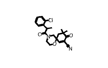 CC(C(=O)N1CCOC2(C=C(C#N)C(=O)C(C)(C)C2)C1)c1ccccc1Cl